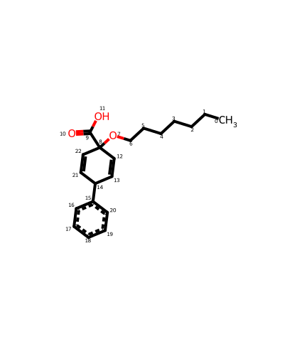 CCCCCCCOC1(C(=O)O)C=CC(c2ccccc2)C=C1